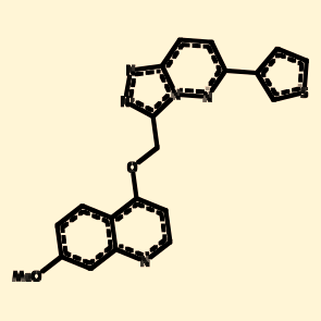 COc1ccc2c(OCc3nnc4ccc(-c5ccsc5)nn34)ccnc2c1